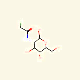 O=C(CF)N[C@@H]1C(O)OC(CO)[C@@H](O)C1O